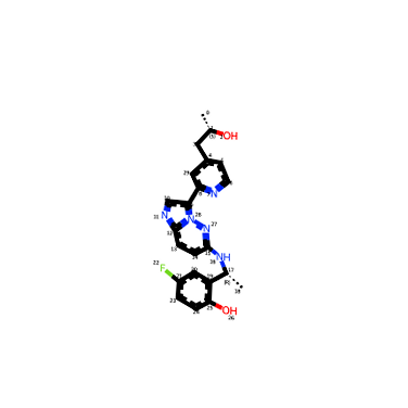 C[C@H](O)Cc1ccnc(-c2cnc3ccc(N[C@H](C)c4cc(F)ccc4O)nn23)c1